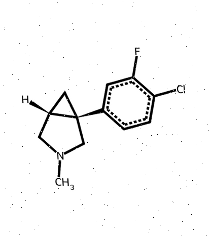 CN1C[C@@H]2C[C@]2(c2ccc(Cl)c(F)c2)C1